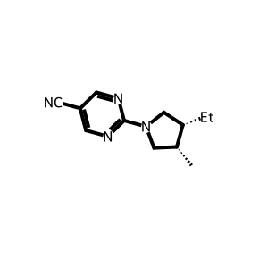 CC[C@H]1CN(c2ncc(C#N)cn2)C[C@H]1C